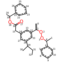 C=C(OOC(C)c1ccccc1)c1cc(CC(=O)OC(C)c2ccccc2)cc(C(C)CC)c1